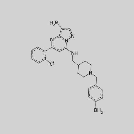 Bc1ccc(CN2CCC(CNc3cc(-c4ccccc4Cl)nc4c(B)cnn34)CC2)cc1